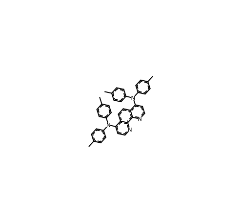 Cc1ccc(N(c2ccc(C)cc2)c2ccnc3c2ccc2c(N(c4ccc(C)cc4)c4ccc(C)cc4)ccnc23)cc1